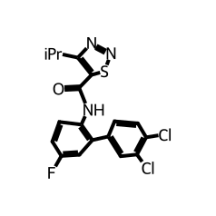 CC(C)c1nnsc1C(=O)Nc1ccc(F)cc1-c1ccc(Cl)c(Cl)c1